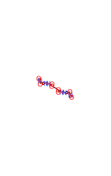 CC(C)(C(=O)c1ccc(N2CCN(CCC(=O)OCCCCCCOC(=O)CCN3CCN(c4ccc(C(=O)C(C)(C)N5CCOCC5)cc4)CC3)CC2)cc1)N1CCOCC1